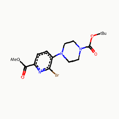 COC(=O)c1ccc(N2CCN(C(=O)OC(C)(C)C)CC2)c(Br)n1